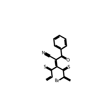 C=CC(=S)C(C(=S)C(=C)Br)=C(C#N)C(=O)c1ccccc1